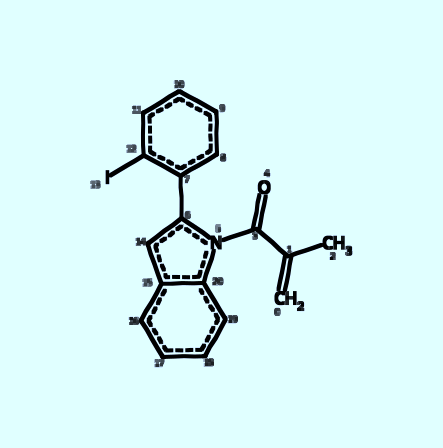 C=C(C)C(=O)n1c(-c2ccccc2I)cc2ccccc21